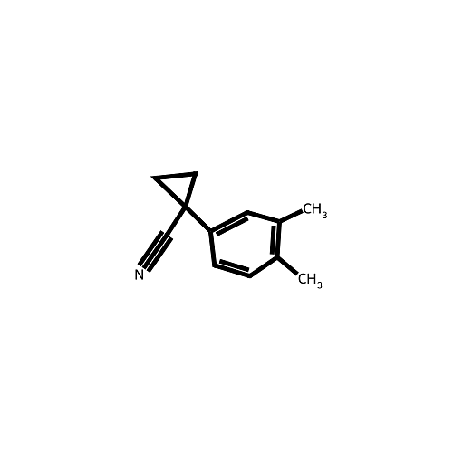 Cc1ccc(C2(C#N)CC2)cc1C